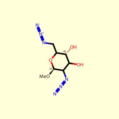 CO[C@H]1OC(CN=[N+]=[N-])[C@H](O)C(O)C1N=[N+]=[N-]